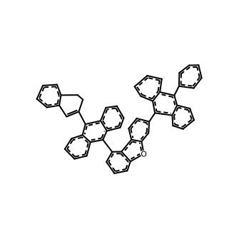 C1=C(c2c3ccccc3c(-c3cccc4oc5cc(-c6c7ccccc7c(-c7ccccc7)c7ccccc67)ccc5c34)c3ccccc23)CCc2ccccc21